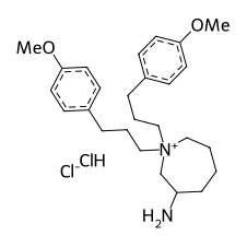 COc1ccc(CCC[N+]2(CCCc3ccc(OC)cc3)CCCCC(N)C2)cc1.Cl.[Cl-]